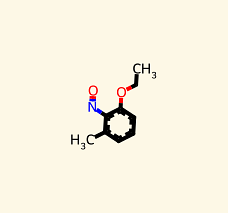 CCOc1cccc(C)c1N=O